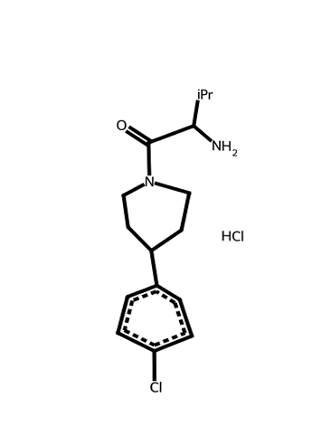 CC(C)C(N)C(=O)N1CCC(c2ccc(Cl)cc2)CC1.Cl